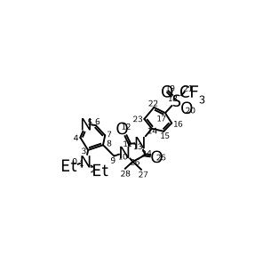 CCN(CC)c1cnccc1CN1C(=O)N(c2ccc(S(=O)(=O)C(F)(F)F)cc2)C(=O)C1(C)C